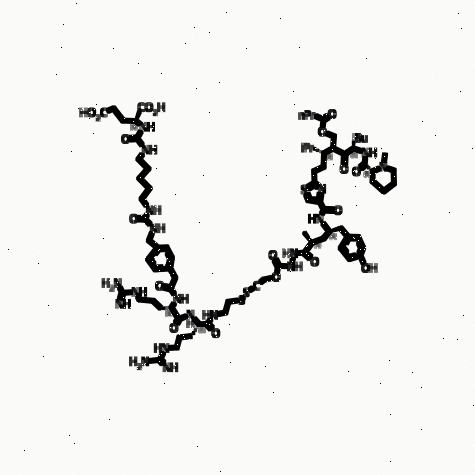 CCCC(=O)OCC(C(=O)[C@@H](NC(=O)[C@H]1CCCCN1C)C(C)CC)[C@H](CCc1nc(C(=O)N[C@@H](Cc2ccc(O)cc2)C[C@H](C)C(=O)NNC(=O)OCCSSCCNC(=O)[C@H](CCCNC(=N)N)NC(=O)[C@H](CCCNC(=N)N)NC(=O)Cc2ccc(CNC(=O)NCCCCCNC(=O)N[C@@H](CCC(=O)O)C(=O)O)cc2)cs1)C(C)C